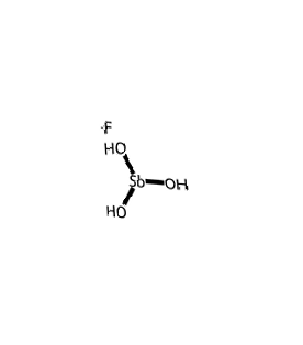 [F].[OH][Sb]([OH])[OH]